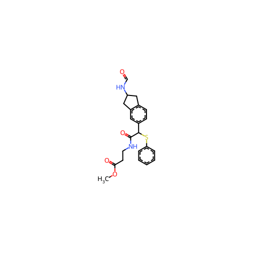 COC(=O)CCNC(=O)C(Sc1ccccc1)c1ccc2c(c1)CC(NC=O)C2